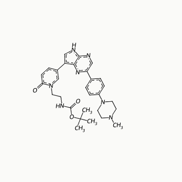 CN1CCN(c2ccc(-c3cnc4[nH]cc(-c5ccc(=O)n(CCNC(=O)OC(C)(C)C)c5)c4n3)cc2)CC1